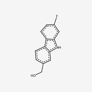 OCc1ccc2c(c1)[nH]c1cc(F)ccc12